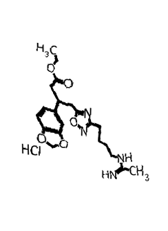 CCOC(=O)CC(Cc1nc(CCCCNC(C)=N)no1)c1ccc2c(c1)OCO2.Cl